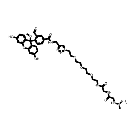 COC1(c2ccc(C(=O)NCc3cn(CCOCCOCCOCCNC(=O)CNC(=O)CNN(C)N)nn3)cc2C=O)C2=C(C=C(O)CC2)Oc2cc(O)ccc21